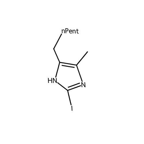 CCCCCCc1[nH]c(I)nc1C